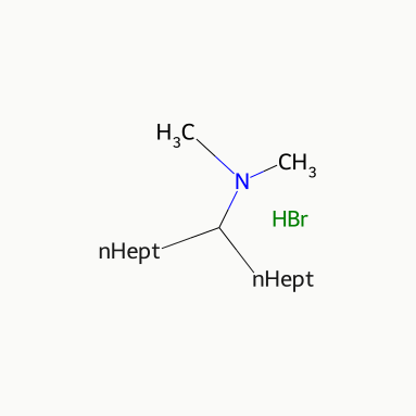 Br.CCCCCCCC(CCCCCCC)N(C)C